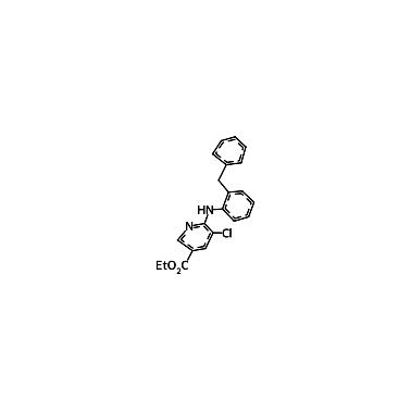 CCOC(=O)c1cnc(Nc2ccccc2Cc2ccccc2)c(Cl)c1